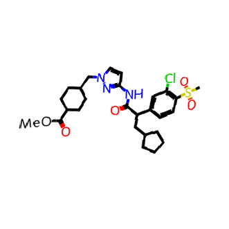 COC(=O)C1CCC(Cn2ccc(NC(=O)C(CC3CCCC3)c3ccc(S(C)(=O)=O)c(Cl)c3)n2)CC1